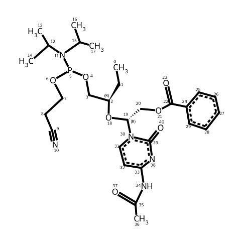 CC[C@H](COP(OCCC#N)N(C(C)C)C(C)C)O[C@H](COC(=O)c1ccccc1)n1ccc(NC(C)=O)nc1=O